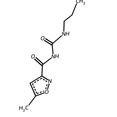 CCCNC(=O)NC(=O)c1cc(C)on1